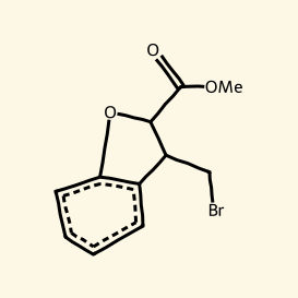 COC(=O)C1Oc2ccccc2C1CBr